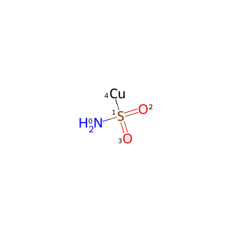 N[S](=O)(=O)[Cu]